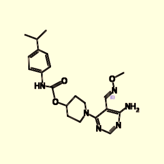 CO/N=C/c1c(N)ncnc1N1CCC(OC(=O)Nc2ccc(C(C)C)cc2)CC1